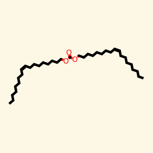 CCCCCCCC/C=C\CCCCCCCCOC(=O)OCCCCCCCC/C=C\CCCCCCCC